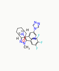 Cn1nc2c(c1-c1cc(F)c(F)c(F)c1)C[C@@H]1CCC[C@H]2N1C(=O)c1cncc(-n2cnnc2)c1